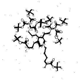 C[C@@H](CCCC[n+]1cc(CC[C@H](C)C(=O)OC(C)(C)C)c(CCC[C@@H](C(=O)OC(C)(C)C)N(C(=O)OC(C)(C)C)C(=O)OC(C)(C)C)c(CC[C@@H](C(=O)OC(C)(C)C)N(C(=O)OC(C)(C)C)C(=O)OC(C)(C)C)c1)C(=O)OC(C)(C)C